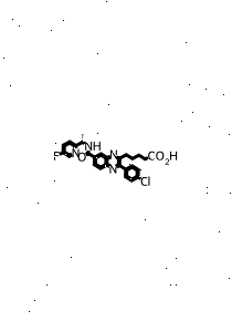 C[C@H](NC(=O)c1ccc2nc(-c3ccc(Cl)cc3)c(CCCCC(=O)O)nc2c1)c1ccc(F)cn1